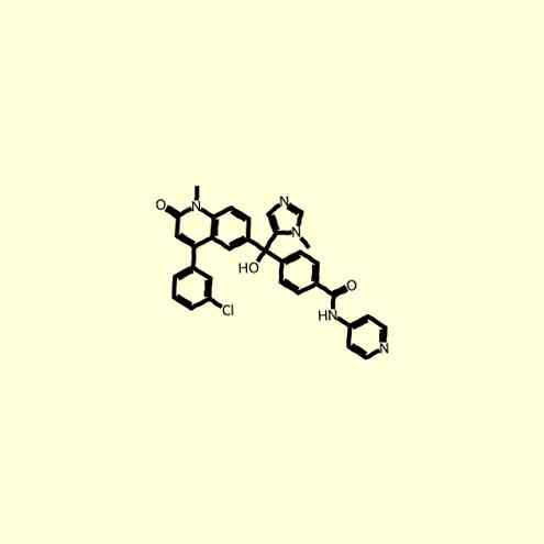 Cn1cncc1C(O)(c1ccc(C(=O)Nc2ccncc2)cc1)c1ccc2c(c1)c(-c1cccc(Cl)c1)cc(=O)n2C